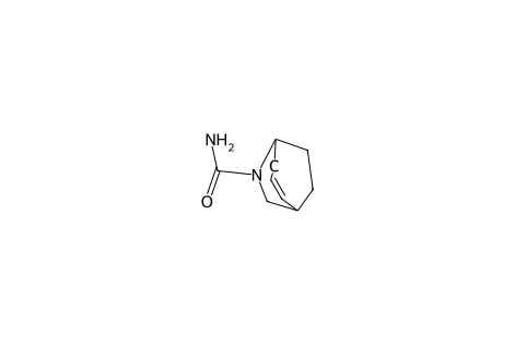 NC(=O)N1CC2C=CCC1CC2